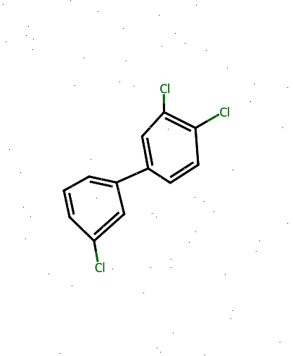 Clc1cccc(-c2ccc(Cl)c(Cl)c2)c1